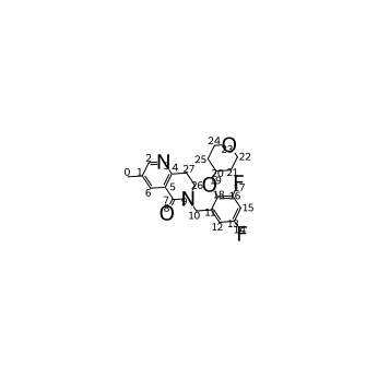 Cc1cnc2c(c1)C(=O)N(Cc1cc(F)cc(F)c1OC1CCOCC1)CC2